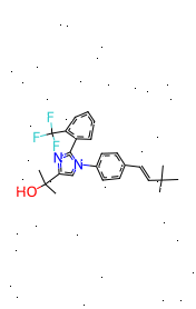 CC(C)(C)/C=C/c1ccc(-n2cc(C(C)(C)O)nc2-c2ccccc2C(F)(F)F)cc1